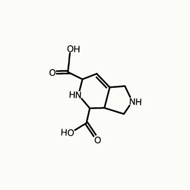 O=C(O)C1C=C2CNCC2C(C(=O)O)N1